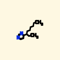 CCCCCCC(CC)c1ccncn1